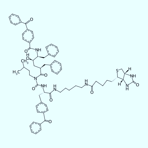 CC(C)CCN(C(=O)N[C@@H](Cc1ccc(C(=O)c2ccccc2)cc1)C(=O)NCCCCCNC(=O)CCCC[C@@H]1SC[C@@H]2NC(=O)N[C@@H]21)C(=O)[C@H](Cc1ccccc1)C[C@@H](O)[C@H](Cc1ccccc1)NC(=O)c1ccc(C(=O)c2ccccc2)cc1